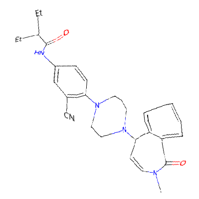 CCC(CC)C(=O)Nc1ccc(N2CCN(C3C=CN(C)C(=O)c4ccccc43)CC2)c(C#N)c1